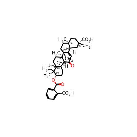 CC1(C)[C@@H](OC(=O)c2ccccc2C(=O)O)CC[C@]2(C)[C@H]3C(=O)C=C4[C@@H]5C[C@@](C)(C(=O)O)CC[C@]5(C)CC[C@@]4(C)[C@]3(C)CC[C@@H]12